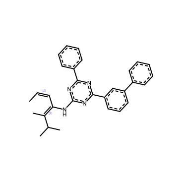 C/C=C\C(Nc1nc(-c2ccccc2)nc(-c2cccc(-c3ccccc3)c2)n1)=C(/C)C(C)C